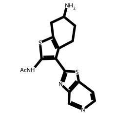 CC(=O)Nc1sc2c(c1-c1nc3cnccc3s1)CCC(N)C2